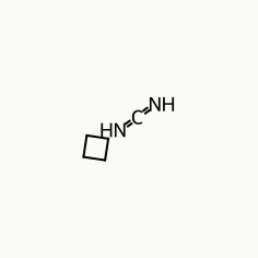 C1CCC1.N=C=N